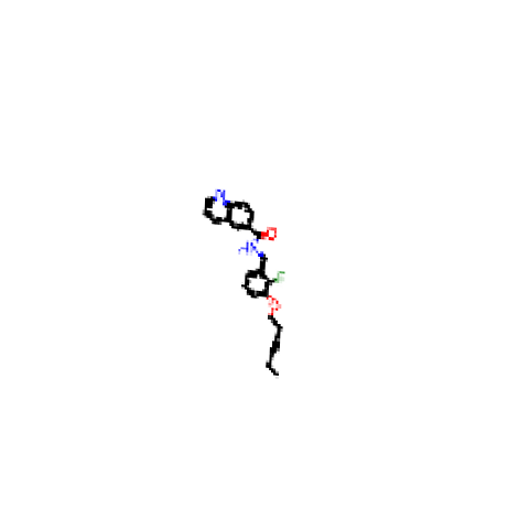 CCC#CCCOc1cccc(CNC(=O)c2ccc3ncccc3c2)c1F